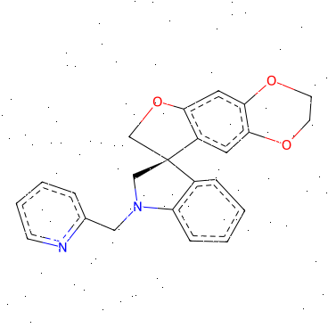 c1ccc(CN2C[C@]3(COc4cc5c(cc43)OCCO5)c3ccccc32)nc1